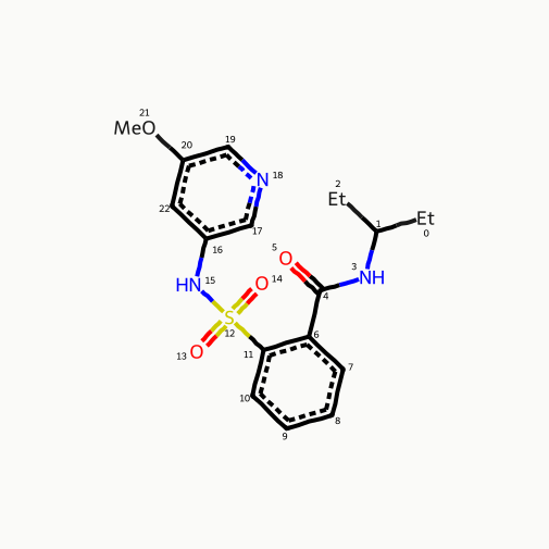 CCC(CC)NC(=O)c1ccccc1S(=O)(=O)Nc1cncc(OC)c1